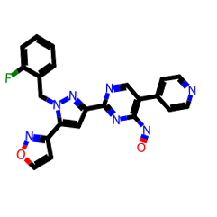 O=Nc1nc(-c2cc(-c3ccon3)n(Cc3ccccc3F)n2)ncc1-c1ccncc1